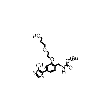 Cc1ncsc1-c1ccc(CNC(=O)OC(C)(C)C)c(OCCOCCCO)c1